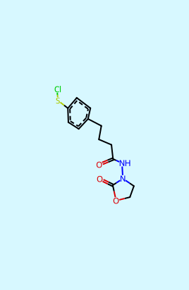 O=C(CCCc1ccc(SCl)cc1)NN1CCOC1=O